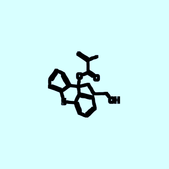 C=C(C)C(=O)OC1(CCCO)c2ccccc2Sc2ccccc21